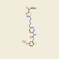 CNC(=O)c1nnc(CCCCc2ccc(NC(=O)Cc3cc(OC(F)(F)F)ccc3F)nn2)s1